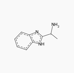 C[C](N)c1nc2ccccc2[nH]1